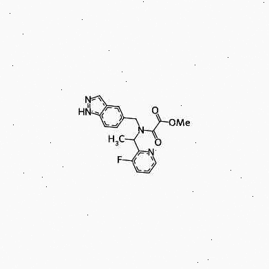 COC(=O)C(=O)N(Cc1ccc2[nH]ncc2c1)C(C)c1ncccc1F